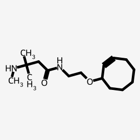 CNC(C)(C)CC(=O)NCCOC1C#CCCCCC1